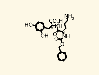 NCCC[C@@H](NC(=O)OCc1ccccc1)C(=O)N[C@@H](Cc1ccc(O)cc1O)C(=O)O